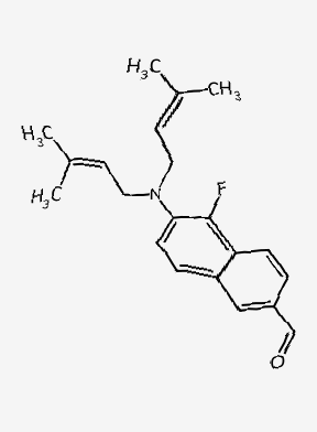 CC(C)=CCN(CC=C(C)C)c1ccc2cc(C=O)ccc2c1F